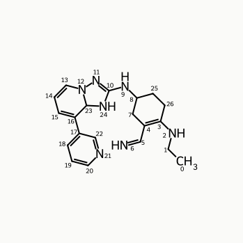 CCNC1=C(C=N)CC(NC2=NN3C=CC=C(c4cccnc4)C3N2)CC1